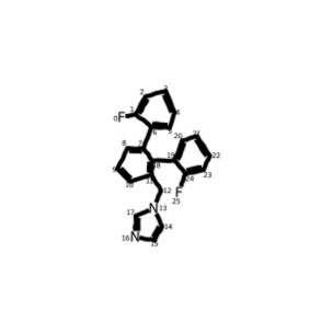 Fc1ccccc1-c1cccc(Cn2ccnc2)c1-c1ccccc1F